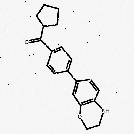 O=C(c1ccc(-c2ccc3c(c2)OCCN3)cc1)C1CCCC1